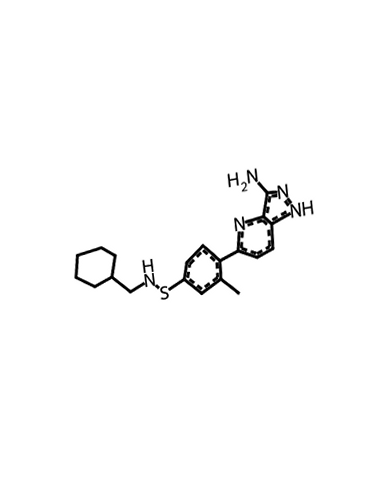 Cc1cc(SNCC2CCCCC2)ccc1-c1ccc2[nH]nc(N)c2n1